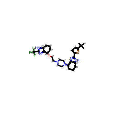 CC(C)(C)c1ccc(-c2nc3c(N4CCN(CCOc5cccc6[nH]c(C(F)(F)F)nc56)CC4)cccc3[nH]2)s1